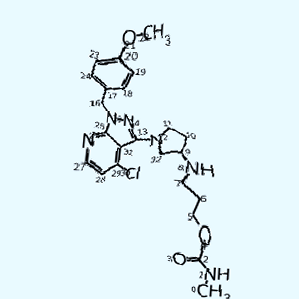 CNC(=O)OCCCN[C@@H]1CCN(c2nn(Cc3ccc(OC)cc3)c3nccc(Cl)c23)C1